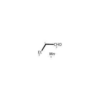 CCCC=O.[Mn]